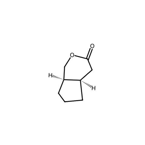 O=C1C[C@H]2CCC[C@H]2CO1